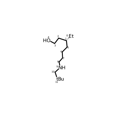 CC[C@@H](CCO)CCCCNCC(C)(C)C